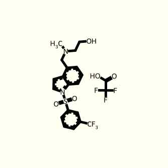 CN(CCO)Cc1cccc2c1ccn2S(=O)(=O)c1cccc(C(F)(F)F)c1.O=C(O)C(F)(F)F